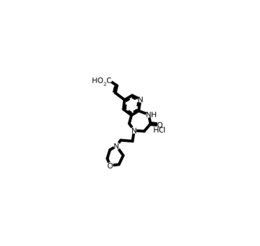 Cl.O=C(O)C=Cc1cnc2c(c1)CN(CCN1CCOCC1)CC(=O)N2